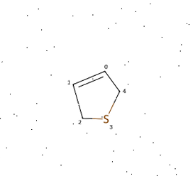 C1=CCSC1